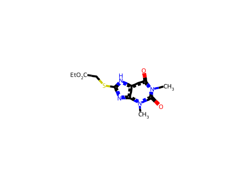 CCOC(=O)CSc1nc2c([nH]1)c(=O)n(C)c(=O)n2C